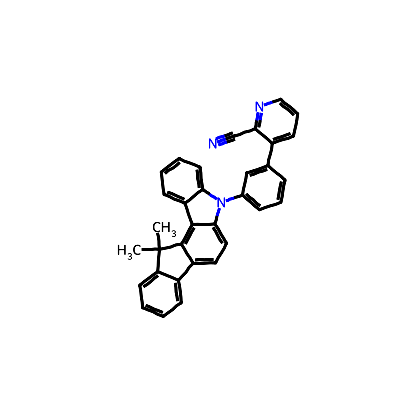 CC1(C)c2ccccc2-c2ccc3c(c21)c1ccccc1n3-c1cccc(-c2cccnc2C#N)c1